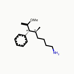 C=C(OC)[C@@H](c1ccccc1)[C@@H](C)CCCCN